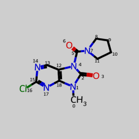 Cn1c(=O)n(C(=O)N2CCCC2)c2cnc(Cl)nc21